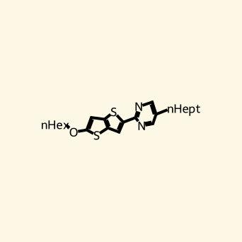 CCCCCCCc1cnc(-c2cc3sc(OCCCCCC)cc3s2)nc1